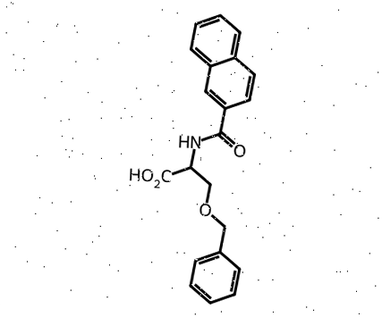 O=C(NC(COCc1ccccc1)C(=O)O)c1ccc2ccccc2c1